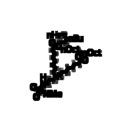 CCCCCCCCC(CCCCCCCC)OC(=O)CCCCCCCN(CCCCCCCC(=O)OCCC(CCCC)CCCCCC)CCCNc1c(NC)c(=O)c1=O